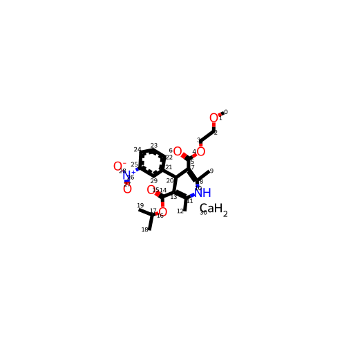 COCCOC(=O)C1=C(C)NC(C)=C(C(=O)OC(C)C)C1c1cccc([N+](=O)[O-])c1.[CaH2]